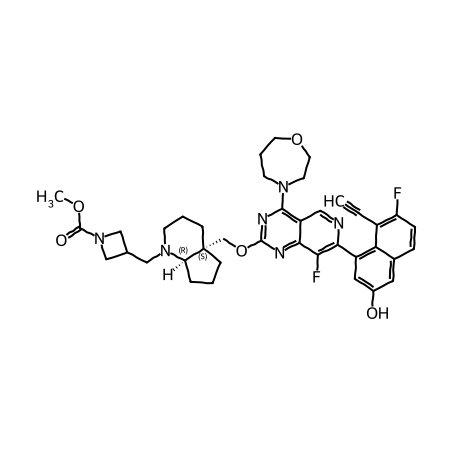 C#Cc1c(F)ccc2cc(O)cc(-c3ncc4c(N5CCCOCC5)nc(OC[C@]56CCC[C@H]5N(CC5CN(C(=O)OC)C5)CCC6)nc4c3F)c12